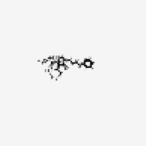 CCC(C)C(NC(=O)OC)C(=O)N(CN)CCCCc1ccccc1